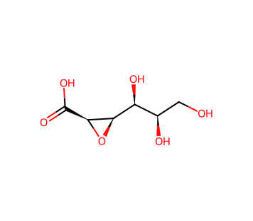 O=C(O)[C@@H]1O[C@@H]1[C@@H](O)[C@H](O)CO